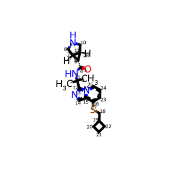 CC(C)(NC(=O)[C@@H]1[C@@H]2CNC[C@@H]21)c1ncc2c(SCC3CCC3)cccn12